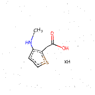 CNc1ccsc1C(=O)O.[KH]